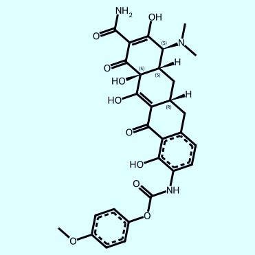 COc1ccc(OC(=O)Nc2ccc3c(c2O)C(=O)C2=C(O)[C@]4(O)C(=O)C(C(N)=O)=C(O)[C@@H](N(C)C)[C@@H]4C[C@@H]2C3)cc1